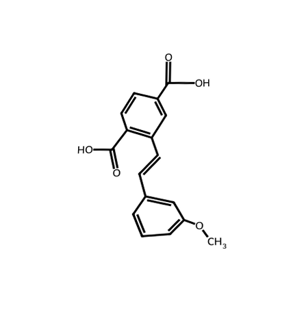 COc1cccc(C=Cc2cc(C(=O)O)ccc2C(=O)O)c1